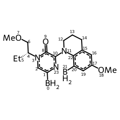 Bc1cn([C@H](CC)COC)c(=O)c(N2CCCc3cc(OC)cc(B)c32)n1